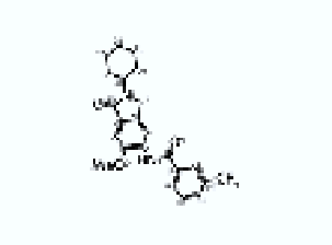 COc1cc2c(cc1NC(=O)c1cccc(C(F)(F)F)n1)CN(C1CCCCC1)C2=O